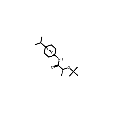 CC(C)C12CCC(NC(=O)[C@H](C)OC(C)(C)C)(CC1)CC2